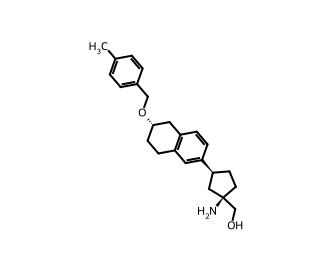 Cc1ccc(CO[C@H]2CCc3cc([C@H]4CC[C@](N)(CO)C4)ccc3C2)cc1